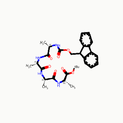 C[C@H](NC(=O)OCC1c2ccccc2-c2ccccc21)C(=O)N[C@@H](C)C(=O)N[C@@H](C)C(=O)N[C@@H](C)C(=O)OC(C)(C)C